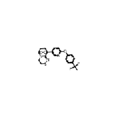 CC(F)(F)c1ccc(Oc2ccc(C34CCC(CC3)N3CCSN=C34)cn2)cc1